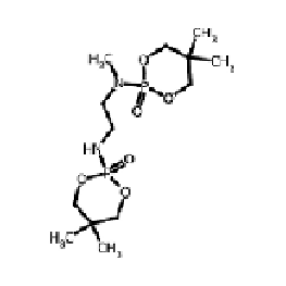 CN(CCNP1(=O)OCC(C)(C)CO1)P1(=O)OCC(C)(C)CO1